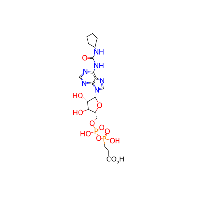 O=C(O)CCP(=O)(O)OP(=O)(O)OC[C@H]1O[C@@H](n2cnc3c(NC(=O)NC4CCCC4)ncnc32)[C@@H](O)C1O